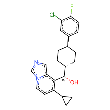 O[C@H](c1c(C2CC2)ccn2cncc12)[C@H]1CC[C@H](c2ccc(F)c(Cl)c2)CC1